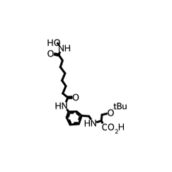 CC(C)(C)OCC(NCc1cccc(NC(=O)CCCCCCC(=O)NO)c1)C(=O)O